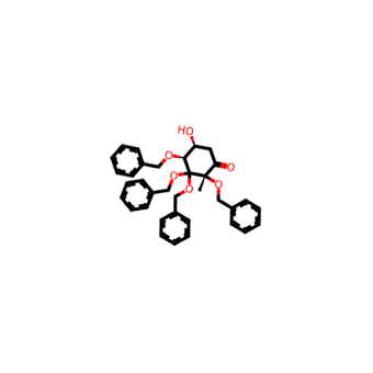 C[C@]1(OCc2ccccc2)C(=O)C[C@H](O)[C@H](OCc2ccccc2)C1(OCc1ccccc1)OCc1ccccc1